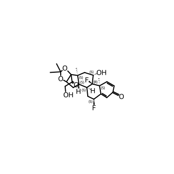 CC1(C)OC2C[C@H]3[C@@H]4C[C@H](F)C5=CC(=O)C=C[C@]5(C)[C@@]4(F)[C@@H](O)C[C@]3(C)C2(C(=O)CO)O1